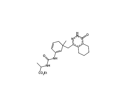 CCOC(=O)C(C)NC(=O)NC1=CC(C)(Cc2n[nH]c(=O)c3c2CCCC3)CC=C1